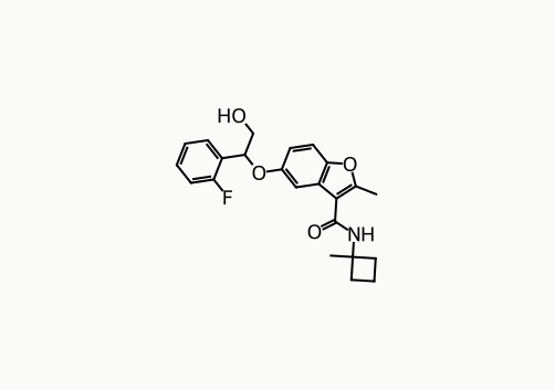 Cc1oc2ccc(OC(CO)c3ccccc3F)cc2c1C(=O)NC1(C)CCC1